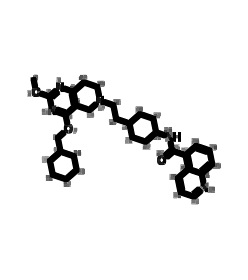 COc1nc2c(c(OCC3CCCCC3)n1)CN(CCC1CCC(NC(=O)c3cccc4ncccc34)CC1)CC2